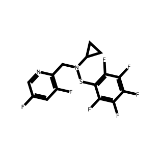 Fc1cnc(CN(Sc2c(F)c(F)c(F)c(F)c2F)C2CC2)c(F)c1